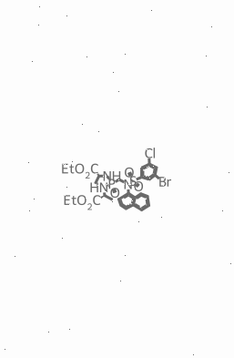 CCOC(=O)[C@H](C)NP(=O)(CN(c1cccc2ccccc12)S(=O)(=O)c1cc(Cl)cc(Br)c1)N[C@@H](C)C(=O)OCC